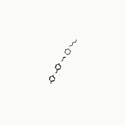 CCCCC[C@H]1CC[C@H](C=CCOc2ccc(C(=O)Oc3ccc(C)cc3)cc2)CC1